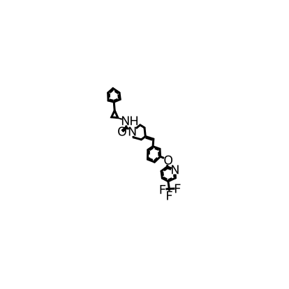 O=C(N[C@H]1CC1c1ccccc1)N1CCC(=Cc2cccc(Oc3ccc(C(F)(F)F)cn3)c2)CC1